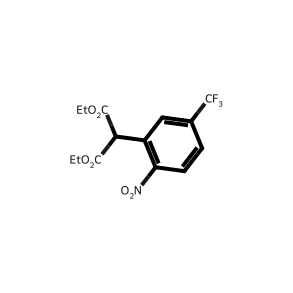 CCOC(=O)C(C(=O)OCC)c1cc(C(F)(F)F)ccc1[N+](=O)[O-]